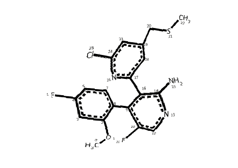 COc1cc(F)ccc1-c1c(F)cnc(N)c1-c1cc(CSC)cc(Cl)n1